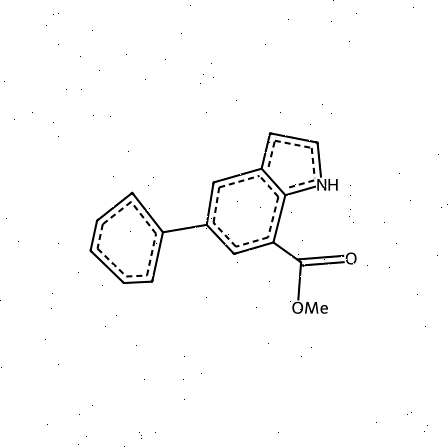 COC(=O)c1cc(-c2ccccc2)cc2cc[nH]c12